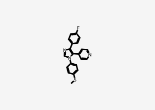 CSc1ccc(-n2cnc(-c3ccc(F)cc3)c2-c2ccncc2)cc1